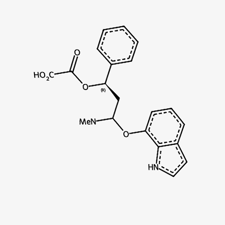 CNC(C[C@@H](OC(=O)C(=O)O)c1ccccc1)Oc1cccc2cc[nH]c12